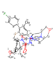 COC[C@H]1CSc2c(-c3ccc(F)cc3)c(C)cc3c(N4C5COCC4CN(C(=O)OC(C)(C)C)C5)nc(=O)n1c23